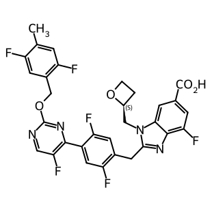 Cc1cc(F)c(COc2ncc(F)c(-c3cc(F)c(Cc4nc5c(F)cc(C(=O)O)cc5n4C[C@@H]4CCO4)cc3F)n2)cc1F